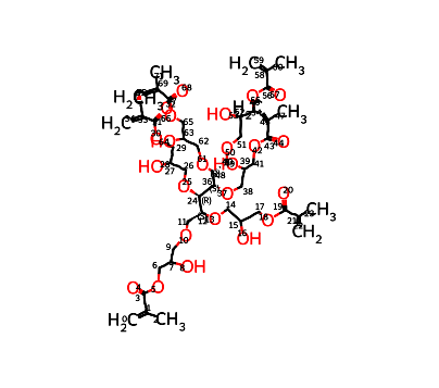 C=C(C)C(=O)OCC(O)COC[C@H](OCC(O)COC(=O)C(=C)C)[C@@H](OCC(O)COC(=O)C(=C)C)[C@@H](OCC(O)COC(=O)C(=C)C)[C@@H](COCC(O)COC(=O)C(=C)C)OCC(O)COC(=O)C(=C)C